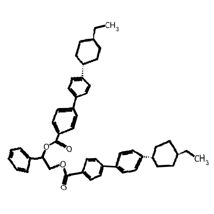 CC[C@H]1CC[C@H](c2ccc(-c3ccc(C(=O)OCC(OC(=O)c4ccc(-c5ccc([C@H]6CC[C@H](CC)CC6)cc5)cc4)c4ccccc4)cc3)cc2)CC1